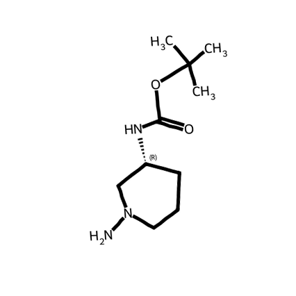 CC(C)(C)OC(=O)N[C@@H]1CCCN(N)C1